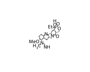 CC[C@@]1(O)C(=O)OCc2c1cc1n(c2=O)Cc2cc3c(N(C)C=N)c(OC)ccc3nc2-1